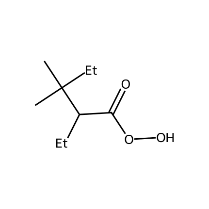 CCC(C(=O)OO)C(C)(C)CC